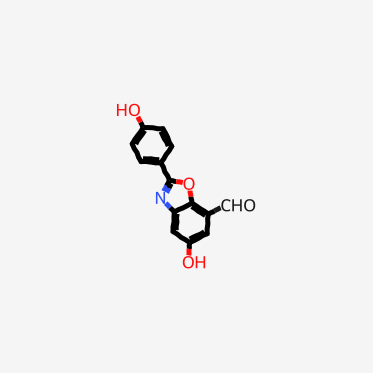 O=Cc1cc(O)cc2nc(-c3ccc(O)cc3)oc12